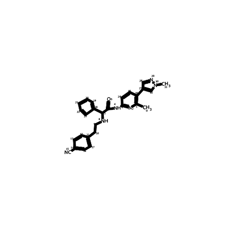 Cc1nc(NC(=O)C(NCCc2ccc(C#N)cc2)c2ccccc2)ccc1-c1cnn(C)c1